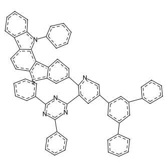 c1ccc(-c2cc(-c3ccccc3)cc(-c3cnc(-c4ccc5c(c4)sc4ccc6c7ccccc7n(-c7ccccc7)c6c45)c(-c4nc(-c5ccccc5)nc(-c5ccccc5)n4)c3)c2)cc1